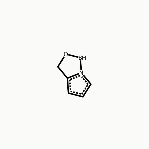 B1OCc2cccn21